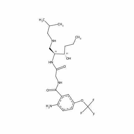 CCC[C@H](O)[C@H](CNCC(C)C)NC(=O)CNC(=O)c1cc(OC(F)(F)F)ccc1N